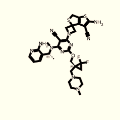 C[C@H](c1cccnc1N)N(C)c1nc(OC[C@]2(CN3CCN(C)CC3)CC2(F)F)nc(N2CC3(C2)SCc2sc(N)c(C#N)c23)c1C#N